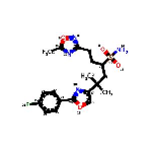 CC(C)(CC(CCc1noc(C(F)(F)F)n1)S(N)(=O)=O)c1coc(-c2ccc(F)cc2)n1